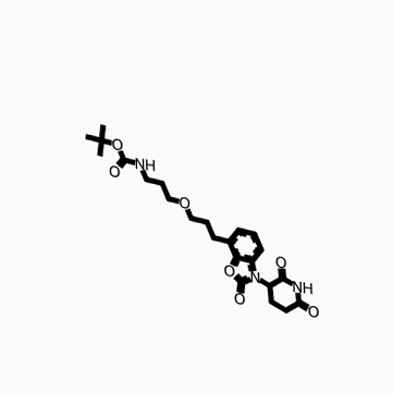 CC(C)(C)OC(=O)NCCCOCCCc1cccc2c1oc(=O)n2C1CCC(=O)NC1=O